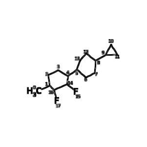 CC1CCC(C2CCC(C3CC3)CC2)C(F)C1F